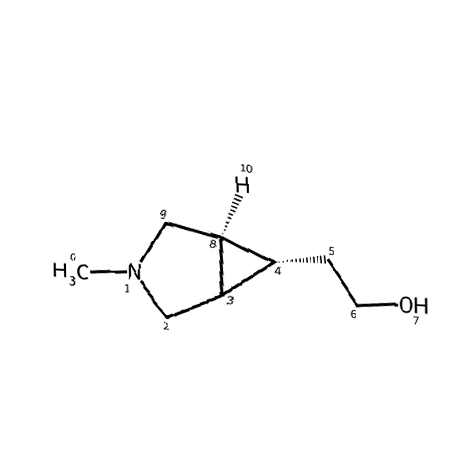 CN1CC2[C@@H](CCO)[C@@H]2C1